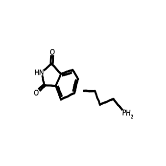 CCCCP.O=C1NC(=O)c2ccccc21